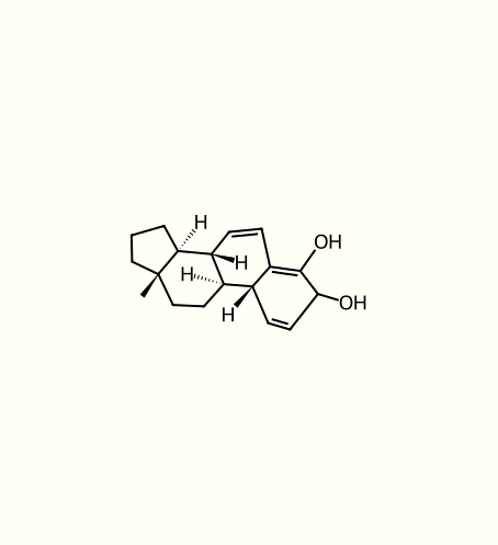 C[C@@]12CCC[C@H]1[C@@H]1C=CC3=C(O)C(O)C=C[C@@H]3[C@H]1CC2